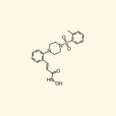 Cc1ccccc1S(=O)(=O)N1CCN(c2ccccc2C=CC(=O)NO)CC1